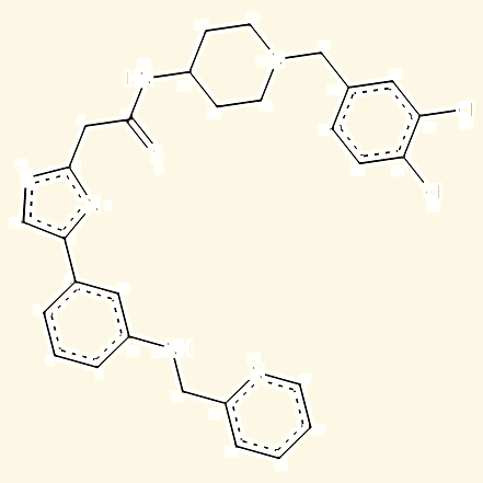 S=C(Cc1nc(-c2cccc(NCc3ccccn3)c2)cs1)NC1CCN(Cc2ccc(Cl)c(Cl)c2)CC1